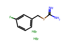 Br.Br.N=C(N)SCc1cccc(F)c1